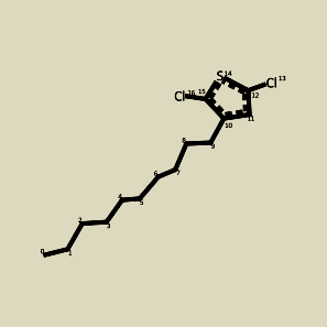 CCCCCCCCCCc1cc(Cl)sc1Cl